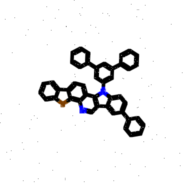 c1ccc(-c2cc(-c3ccccc3)cc(-n3c4ccc(-c5ccccc5)cc4c4cnc5c(ccc6c7ccccc7sc65)c43)c2)cc1